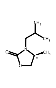 CC(C)CN1C(=O)OC[C@@H]1C